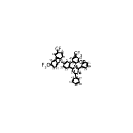 FC(F)(F)c1cc(-c2cc(-n3c4ccc(C(F)(F)F)cc4c4cc(C(F)(F)F)ccc43)ccc2-c2nc(-c3ccccc3)nc(-c3ccccc3)n2)cc(C(F)(F)F)c1